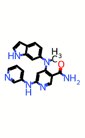 CN(c1ccc2cc[nH]c2c1)c1cc(Nc2cccnc2)ncc1C(N)=O